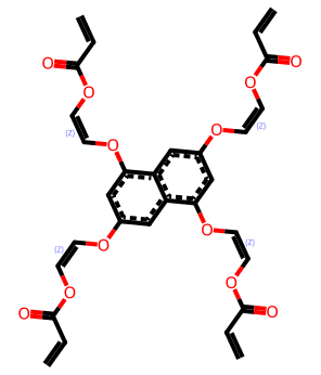 C=CC(=O)O/C=C\Oc1cc(O/C=C\OC(=O)C=C)c2cc(O/C=C\OC(=O)C=C)cc(O/C=C\OC(=O)C=C)c2c1